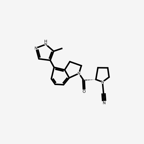 Cc1[nH]ncc1-c1cccc2c1CCN2C(=O)[C@@H]1CCCN1C#N